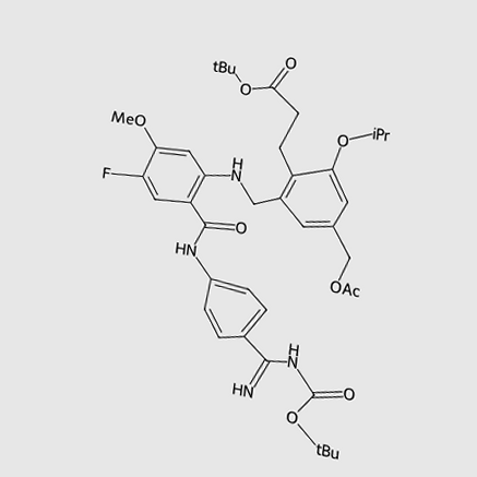 COc1cc(NCc2cc(COC(C)=O)cc(OC(C)C)c2CCC(=O)OC(C)(C)C)c(C(=O)Nc2ccc(C(=N)NC(=O)OC(C)(C)C)cc2)cc1F